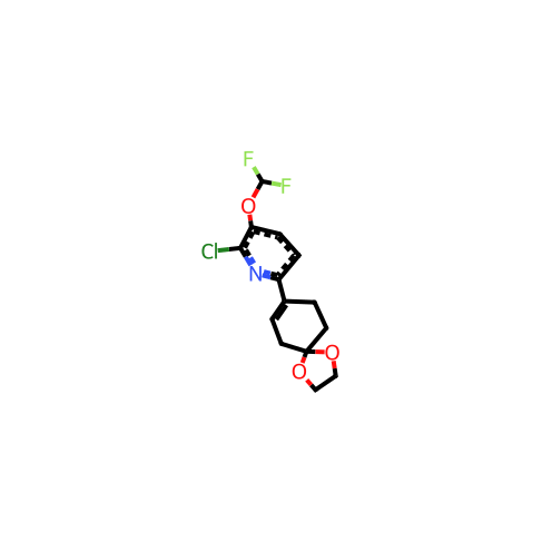 FC(F)Oc1ccc(C2=CCC3(CC2)OCCO3)nc1Cl